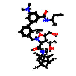 CC[C@H](CC(C)(C)C)NC(=O)c1cc(-c2cccc(CN3O[C@@H](CO)[C@H]([C@H](C)O)[C@H]3C(=O)N[C@H]3C[C@H]4C[C@@H]([C@@H]3C)C4(C)C)c2OC)cc(N(C)C)c1